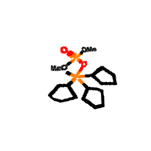 COP(=O)(OC)OP(C)(C1CCCC1)(C1CCCC1)C1CCCC1